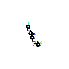 Cc1c(Cl)cccc1C(=O)NCc1ccc(C2(C#N)CCN(Cc3ccc(F)cc3)CC2)cc1